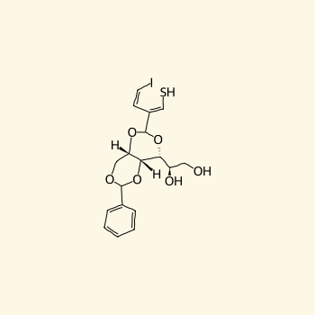 OC[C@@H](O)[C@H]1OC(C(/C=C\I)=C/S)O[C@H]2COC(c3ccccc3)O[C@@H]12